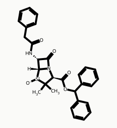 CC1(C)[C@H](C(=O)OC(c2ccccc2)c2ccccc2)N2C(=O)[C@@H](NC(=O)Cc3ccccc3)[C@H]2[S+]1[O-]